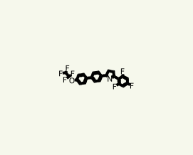 Fc1cc(F)c(C2=NC(c3ccc(-c4ccc(OC(F)(F)C(F)F)cc4)cc3)CC2)c(F)c1